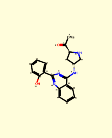 COC(=O)[C@@H]1C[C@@H](Nc2nc(-c3ccccc3O)nc3ccccc23)CN1